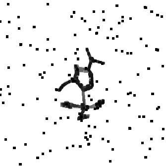 CCC[CH2][Sn]([CH2]CCC)([CH2]CCC)[c]1cc(N(C)C)nn1C